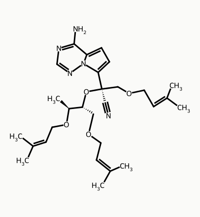 CC(C)=CCOC[C@@H](O[C@](C#N)(COCC=C(C)C)c1ccc2c(N)ncnn12)[C@H](C)OCC=C(C)C